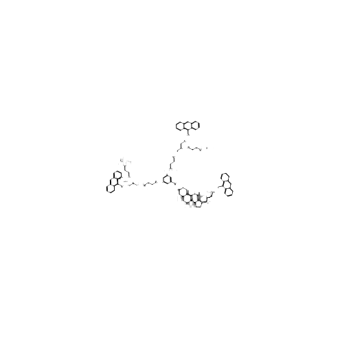 C[C@H](CCC(=O)OCc1c2ccccc2cc2ccccc12)C1CC[C@@H]2[C@H]3C(C[C@H](O)[C@]12C)[C@@]1(C)CC[C@@H](OC(=O)c2cc(OC(=O)CCC(=O)OCC(CCOC(=O)c4c5ccccc5cc5ccccc45)OC(=O)CCC(=O)OC(C)(C)C)cc(OC(=O)CCC(=O)OCC(COC(=O)c4c5ccccc5cc5ccccc45)OC(O)CCC(=O)OC(C)(C)C)c2)C[C@H]1C[C@H]3O